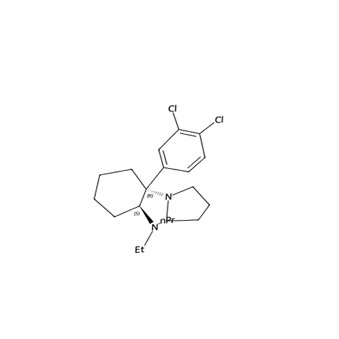 CCCN(CC)[C@H]1CCCC[C@]1(c1ccc(Cl)c(Cl)c1)N1CCCC1